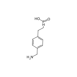 NCc1ccc(CC[PH](=O)O)cc1